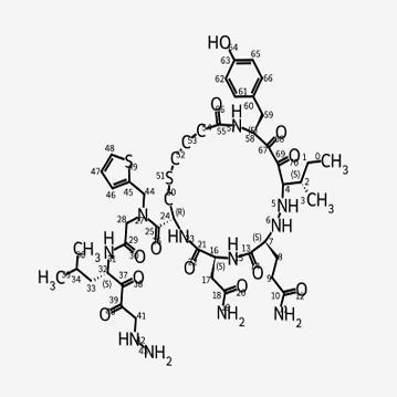 CC[C@H](C)C1NN[C@@H](CCC(N)=O)C(=O)N[C@@H](CC(N)=O)C(=O)N[C@H](C(=O)N(CC(=O)N[C@@H](CC(C)C)C(=O)C(=O)CNN)Cc2cccs2)CSCCCC(=O)N[C@@H](Cc2ccc(O)cc2)C(=O)C1=O